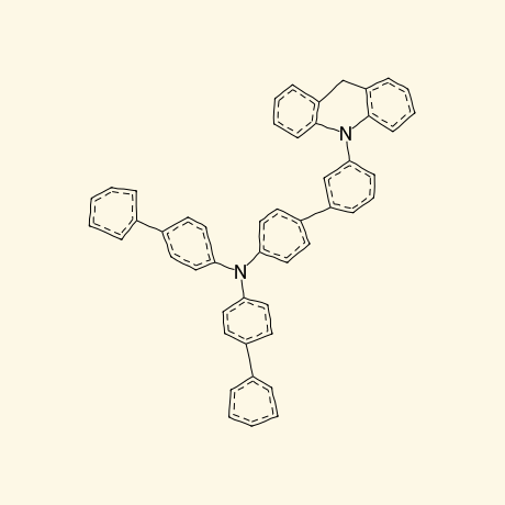 c1ccc(-c2ccc(N(c3ccc(-c4ccccc4)cc3)c3ccc(-c4cccc(N5c6ccccc6Cc6ccccc65)c4)cc3)cc2)cc1